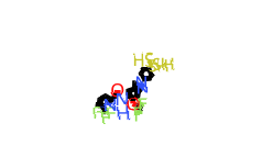 O=C(Nc1cc2cn([C@H]3CC[C@H]([SH](S)S)CC3)nc2cc1OC(F)F)c1cccc(C(F)(F)F)n1